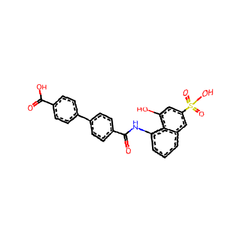 O=C(O)c1ccc(-c2ccc(C(=O)Nc3cccc4cc(S(=O)(=O)O)cc(O)c34)cc2)cc1